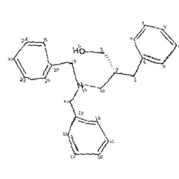 OC[C@H](Cc1ccccc1)CN(Cc1ccccc1)Cc1ccccc1